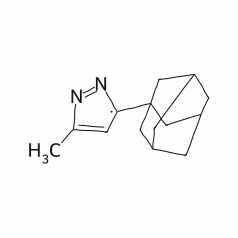 CC1=C[C](C23CC4CC(CC(C4)C2)C3)N=N1